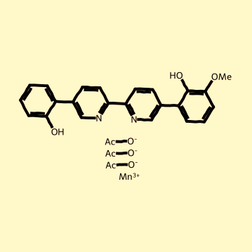 CC(=O)[O-].CC(=O)[O-].CC(=O)[O-].COc1cccc(-c2ccc(-c3ccc(-c4ccccc4O)cn3)nc2)c1O.[Mn+3]